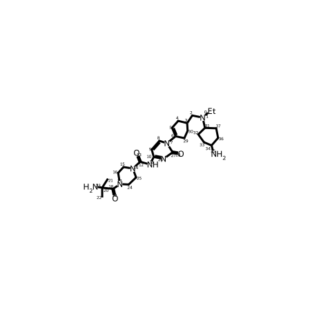 CCN(CC1CC=C(n2ccc(NC(=O)N3CCN(C(=O)C(C)(C)N)CC3)nc2=O)CC1)C1CCC(N)CC1